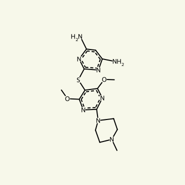 COc1nc(N2CCN(C)CC2)nc(OC)c1Sc1nc(N)cc(N)n1